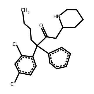 CCCCC(C(=O)CC1CCCCN1)(c1ccccc1)c1ccc(Cl)cc1Cl